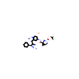 COc1cc2ncnc(-c3cn(C)nc3-c3ccccc3)c2cc1NC(=O)C12CC1CN(C(=O)OC(C)(C)C)C2